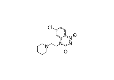 O=c1n[n+]([O-])c2ccc(Cl)cc2n1CCN1CC[CH]CC1